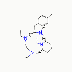 CCN1CCN(CC)C[C@H]2CCC[C@@H](CN(CC)C(Cc3ccc(C)cc3)C1)N2CC